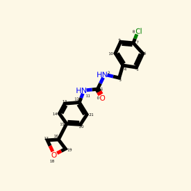 O=C(NCc1ccc(Cl)cc1)Nc1ccc(C2COC2)cc1